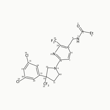 CCC(=O)NCc1ccc(N2CCC(c3cc(Cl)cc(Cl)c3)(C(F)(F)F)C2)nc1C(F)(F)F